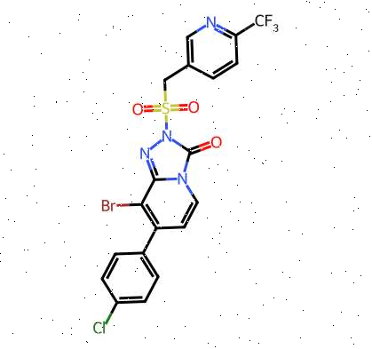 O=c1n(S(=O)(=O)Cc2ccc(C(F)(F)F)nc2)nc2c(Br)c(-c3ccc(Cl)cc3)ccn12